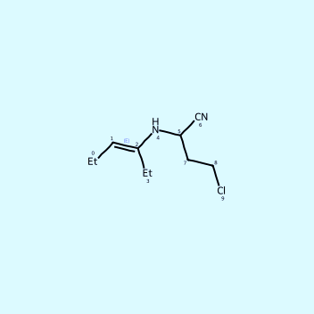 CC/C=C(\CC)NC(C#N)CCCl